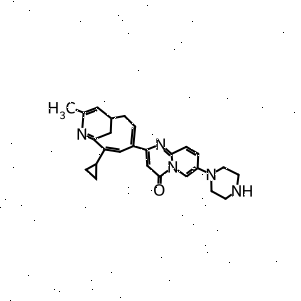 CC1=CC2C/C=C(c3cc(=O)n4cc(N5CCNCC5)ccc4n3)\C=C(\C3CC3)C(=N1)C2